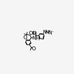 CC(=O)c1ccc2c(c1)C(NC(=O)c1cccc(N=[N+]=[N-])c1)C(O)C(C)(C)O2